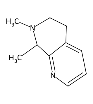 CC1c2ncccc2CCN1C